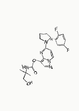 CC(C)(CO)NC(=O)Oc1cnn2ccc(N3CCC[C@@H]3c3cc(F)ccc3F)nc12